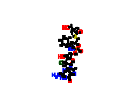 CC(C)(CO)C(=O)SCCO[P@](=O)(NCc1ccccc1)OC[C@H]1O[C@@H](n2cnc3c(=O)[nH]c(N)nc32)[C@](C)(Cl)[C@@H]1O